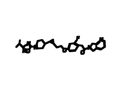 CC(C)c1noc(N2CCC(C3CC3CCOc3ccc(CC(=O)N4Cc5cccnc5C4)c(F)c3)CC2)n1